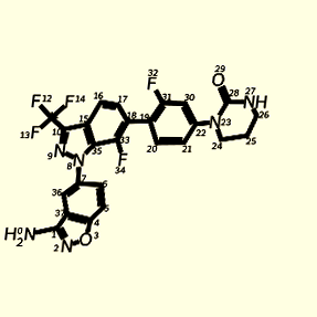 Nc1noc2ccc(-n3nc(C(F)(F)F)c4ccc(-c5ccc(N6CCCNC6=O)cc5F)c(F)c43)cc12